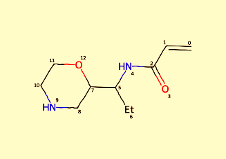 C=CC(=O)NC(CC)C1CNCCO1